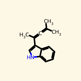 CC(C)=C=C(C)c1c[nH]c2ccccc12